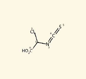 O=C(O)C(Cl)N=C=S